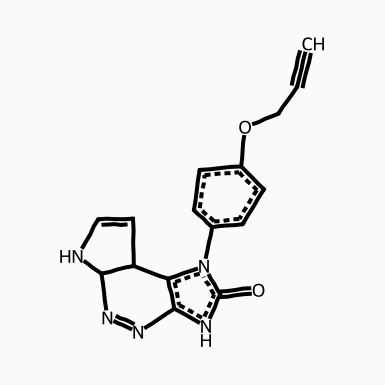 C#CCOc1ccc(-n2c3c([nH]c2=O)N=NC2NC=CC32)cc1